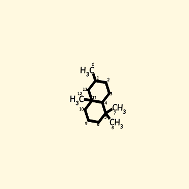 C[C]1CCC2C(C)(C)CCCC2(C)C1